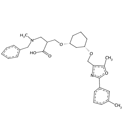 Cc1cccc(-c2nc(CO[C@H]3CCC[C@@H](OCC(CN(C)Cc4ccccc4)C(=O)O)C3)c(C)o2)c1